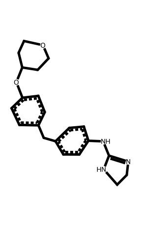 c1cc(NC2=NCCN2)ccc1Cc1ccc(OC2CCOCC2)cc1